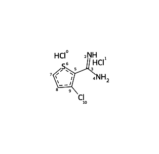 Cl.Cl.N=C(N)c1sccc1Cl